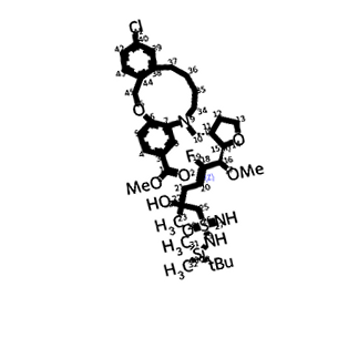 COC(=O)c1ccc2c(c1)N(C[C@@H]1CCO[C@H]1C(OC)/C(F)=C/CC(C)(O)CS(=N)(=O)N[Si](C)(C)C(C)(C)C)CCCCc1cc(Cl)ccc1CO2